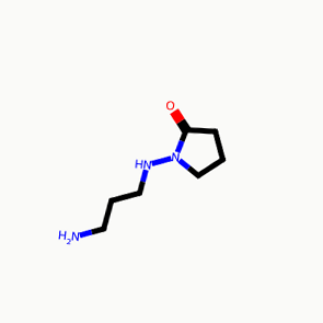 NCCCNN1CCCC1=O